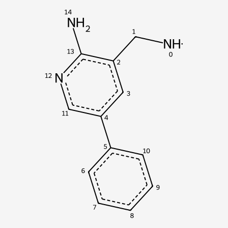 [NH]Cc1cc(-c2ccccc2)cnc1N